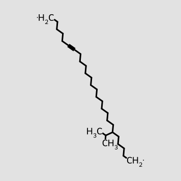 [CH2]CCCCC#CCCCCCCCCCCCCCC(CCCC[CH2])C(C)C